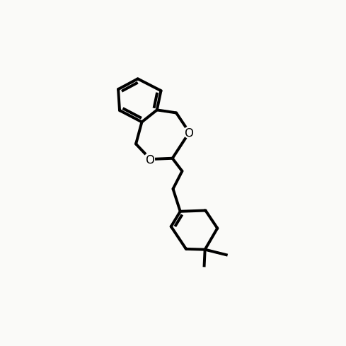 CC1(C)CC=C(CCC2OCc3ccccc3CO2)CC1